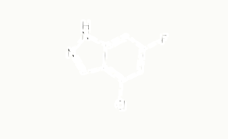 Fc1cc(Cl)c2cn[nH]c2c1